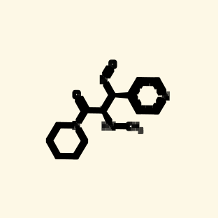 CN[C@@H](C(=O)N1CCCCC1)[C@@H](N=O)c1ccncc1